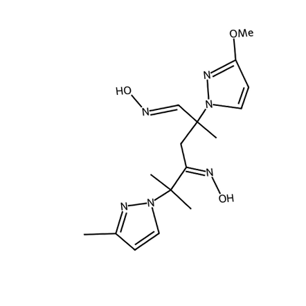 COc1ccn(C(C)(C=NO)CC(=NO)C(C)(C)n2ccc(C)n2)n1